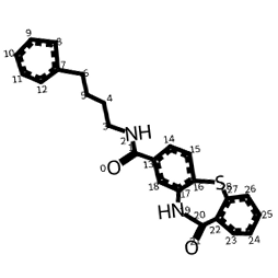 O=C(NCCCCc1ccccc1)c1ccc2c(c1)NC(=O)c1ccccc1S2